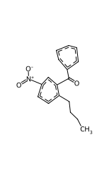 CCCCc1ccc([N+](=O)[O-])cc1C(=O)c1ccccc1